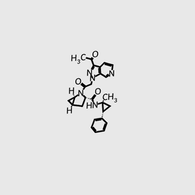 CC(=O)c1nn(CC(=O)N2[C@@H]3C[C@@H]3C[C@H]2C(=O)N[C@@]2(C)C[C@@H]2c2ccccc2)c2cnccc12